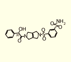 NS(=O)(=O)c1cccc(S(=O)(=O)N2CC3=C(CN(C(=O)[C@H](O)c4ccccc4)C3)C2)c1